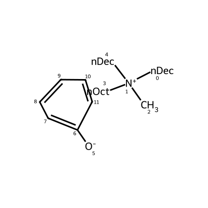 CCCCCCCCCC[N+](C)(CCCCCCCC)CCCCCCCCCC.[O-]c1ccccc1